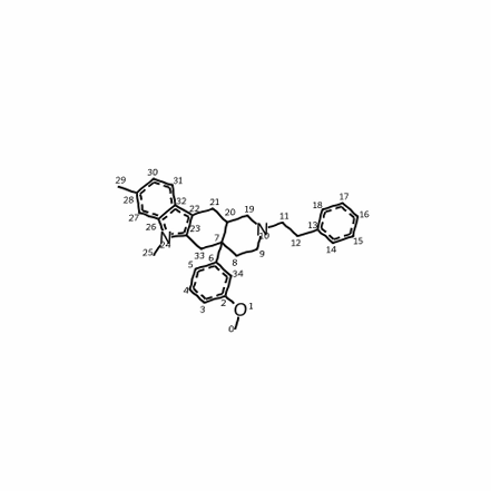 COc1cccc(C23CCN(CCc4ccccc4)CC2Cc2c(n(C)c4cc(C)ccc24)C3)c1